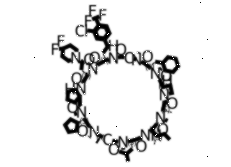 CC[C@H](C)[C@@H]1NC(=O)[C@H](CC(C)C)N(C)C(=O)C[C@@H](C)N(C)C(=O)[C@H](C2CCCC2)N(C)C(=O)C2(CCCC2)NC(=O)[C@H](CC(=O)N2CCC(F)(F)CC2)N(C)C(=O)[C@H](CCc2ccc(C(F)(F)F)c(Cl)c2)NC(=O)CN(C)C(=O)[C@H](CC2CCCCC2)N(C)C(=O)[C@@H]2CCN2C(=O)[C@H](C)N(C)C1=O